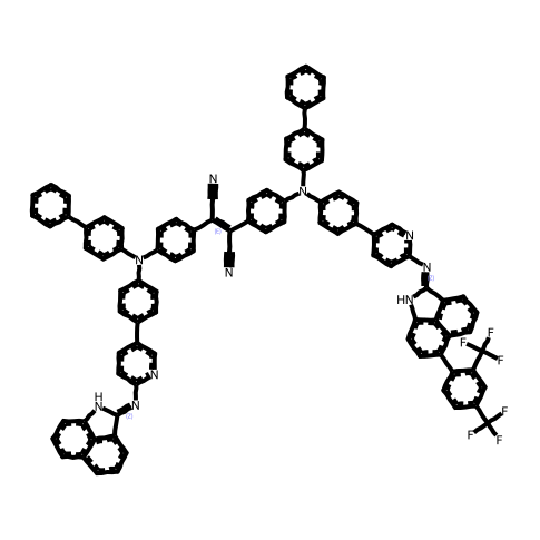 N#C/C(=C(/C#N)c1ccc(N(c2ccc(-c3ccccc3)cc2)c2ccc(-c3ccc(/N=C4\Nc5ccc(-c6ccc(C(F)(F)F)cc6C(F)(F)F)c6cccc4c56)nc3)cc2)cc1)c1ccc(N(c2ccc(-c3ccccc3)cc2)c2ccc(-c3ccc(/N=C4\Nc5cccc6cccc4c56)nc3)cc2)cc1